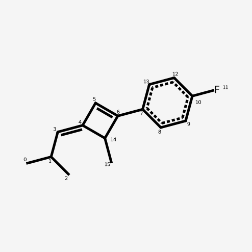 CC(C)/C=C1/C=C(c2ccc(F)cc2)C1C